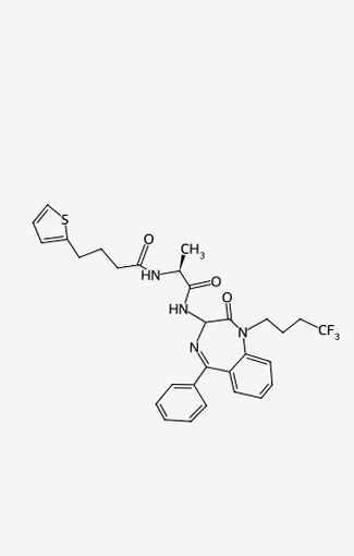 C[C@H](NC(=O)CCCc1cccs1)C(=O)NC1N=C(c2ccccc2)c2ccccc2N(CCCC(F)(F)F)C1=O